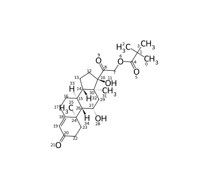 CC(C)(C)C(=O)OCC(=O)[C@@]1(O)CC[C@H]2[C@@H]3CCC4=CC(=O)CC[C@]4(C)[C@H]3[C@@H](O)C[C@@]21C